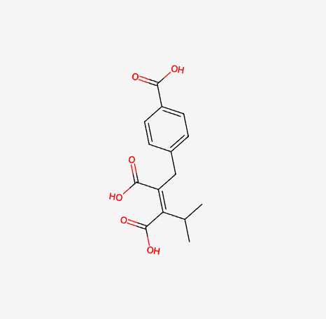 CC(C)/C(C(=O)O)=C(\Cc1ccc(C(=O)O)cc1)C(=O)O